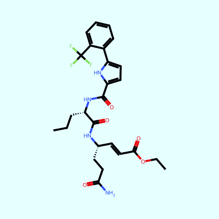 CCC[C@H](NC(=O)c1ccc(-c2ccccc2C(F)(F)F)[nH]1)C(=O)N[C@H](/C=C/C(=O)OCC)CCC(N)=O